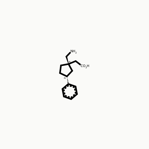 NC[C@]1(CC(=O)O)CC[C@@H](c2ccccc2)C1